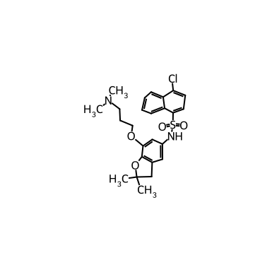 CN(C)CCCOc1cc(NS(=O)(=O)c2ccc(Cl)c3ccccc23)cc2c1OC(C)(C)C2